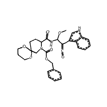 COC(NC(=O)C1CCC2(CN1C(=O)OCc1ccccc1)OCCCO2)C(=C=O)c1c[nH]c2ccccc12